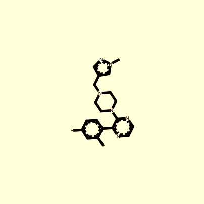 Cc1cc(F)ccc1-c1nccnc1N1CCN(Cc2cnn(C)c2)CC1